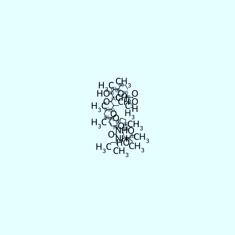 CCC(CC)NC(=O)N[C@@H]1C=C[C@]2(O[C@H](C(CC)C(=O)[C@@H](C)[C@@H](O)[C@H](C)[C@@H]3O[C@@H]([C@@H](CC)C(=O)O)CC[C@@H]3C)[C@@H](C)C[C@H]2C)O[C@@]12CC[C@@](C)([C@H]1CC[C@](O)(CC)[C@H](C)O1)O2